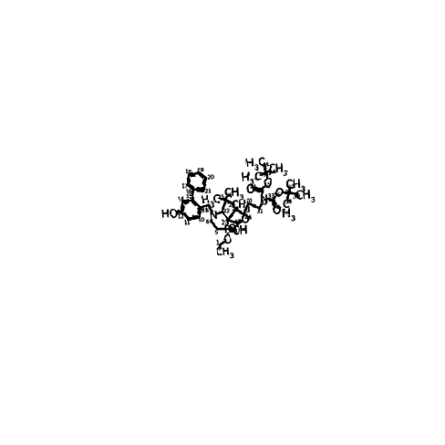 CCOP1(=O)CCN(Cc2ccc(O)cc2-c2ccccc2)C(C(C)(C)C)C1(CCCCN(C(=O)OC(C)(C)C)C(=O)OC(C)(C)C)C(=O)O